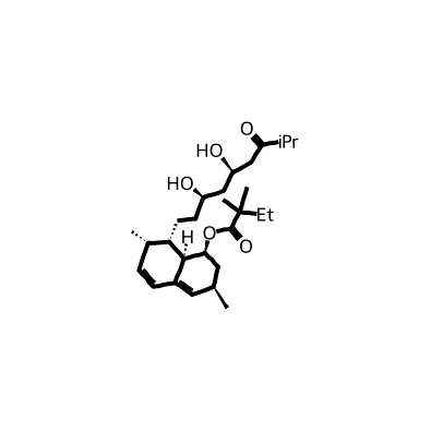 CCC(C)(C)C(=O)O[C@H]1C[C@@H](C)C=C2C=C[C@H](C)[C@H](CC[C@@H](O)C[C@@H](O)CC(=O)C(C)C)[C@H]21